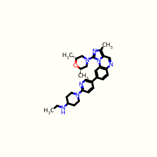 CCNC1CCN(c2ccc(-c3ccc4ncc5c(C)nc(N6C[C@@H](C)O[C@@H](C)C6)n5c4c3)cn2)CC1